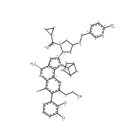 Cc1nc2c(F)c(-c3cccc(Cl)c3Cl)c(CCC#N)cc2c2c1cc(C1CC(OCc3ccc(C(F)(F)F)nc3)CN1C(=O)C1CC1)n2C1C2CNC1C2